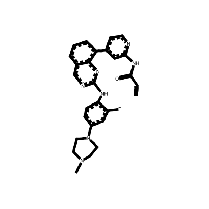 C=CC(=O)Nc1cc(-c2cccc3cnc(Nc4ccc(N5CCN(C)CC5)cc4F)nc23)ccn1